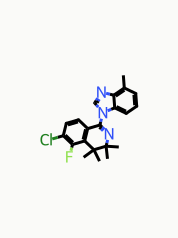 Cc1cccc2c1ncn2C1=NC(C)(C)C(C)(C)c2c1ccc(Cl)c2F